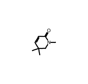 CN1CC(C)(C)C=CC1=O